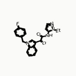 CCn1nccc1NC(=O)C(=O)c1cn(Cc2ccc(F)cc2)c2ccccc12